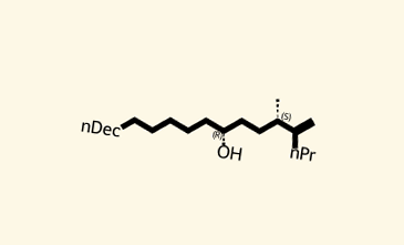 C=C(CCC)[C@@H](C)CC[C@H](O)CCCCCCCCCCCCCCC